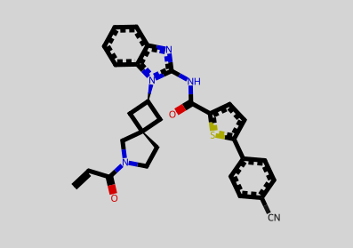 C=CC(=O)N1CC[C@]2(C1)C[C@H](n1c(NC(=O)c3ccc(-c4ccc(C#N)cc4)s3)nc3ccccc31)C2